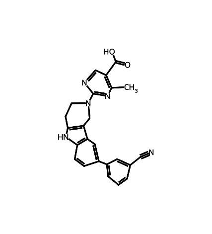 Cc1nc(N2CCc3[nH]c4ccc(-c5cccc(C#N)c5)cc4c3C2)ncc1C(=O)O